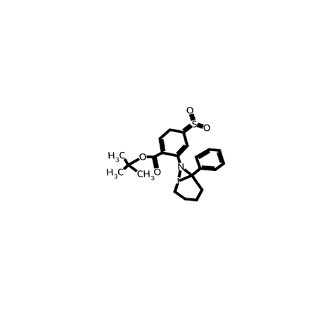 CC(C)(C)OC(=O)C1=CCC(=S(=O)=O)C=C1N1I2CCCCC12c1ccccc1